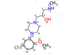 CNCC(O)CN1CCN(c2cc(Cl)ccc2OC)CC1